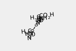 Cc1cc(C#Cc2ccc(N3CCN(S(=O)(=O)N[C@H](C)C(=O)O)CC3)cc2)ccc1NC(=O)c1ccncc1